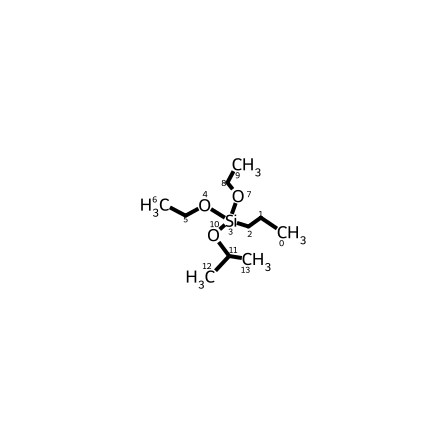 CCC[Si](OCC)(OCC)OC(C)C